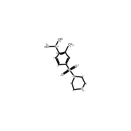 Cc1cc(S(=O)(=O)N2CCOCC2)ccc1B(O)O